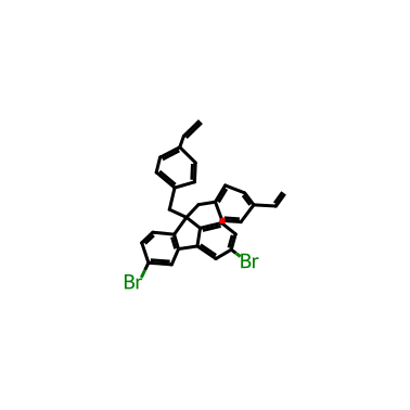 C=Cc1ccc(CC2(Cc3ccc(C=C)cc3)c3ccc(Br)cc3-c3cc(Br)ccc32)cc1